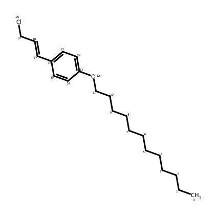 CCCCCCCCCCCCOc1ccc(/C=C/CCl)cc1